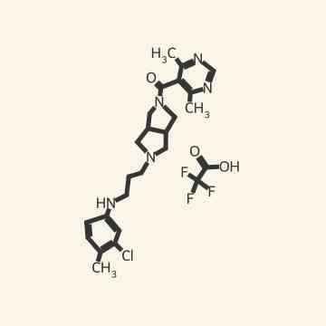 Cc1ccc(NCCCN2CC3CN(C(=O)c4c(C)ncnc4C)CC3C2)cc1Cl.O=C(O)C(F)(F)F